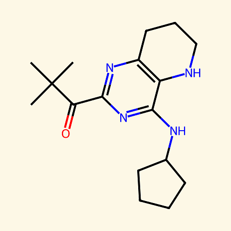 CC(C)(C)C(=O)c1nc2c(c(NC3CCCC3)n1)NCCC2